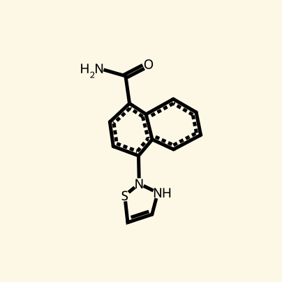 NC(=O)c1ccc(N2NC=CS2)c2ccccc12